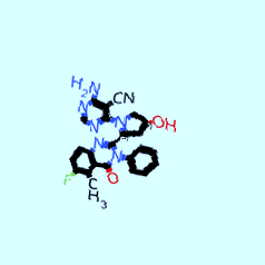 Cc1c(F)ccc2nc([C@@H]3C[C@H](O)CN3c3ncnc(N)c3C#N)n(-c3ccccc3)c(=O)c12